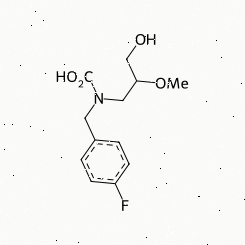 COC(CO)CN(Cc1ccc(F)cc1)C(=O)O